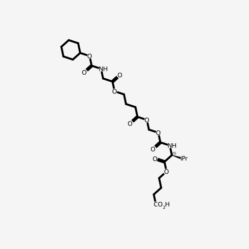 CC(C)[C@H](NC(=O)OCOC(=O)CCCOC(=O)CNC(=O)OC1CCCCC1)C(=O)OCCCC(=O)O